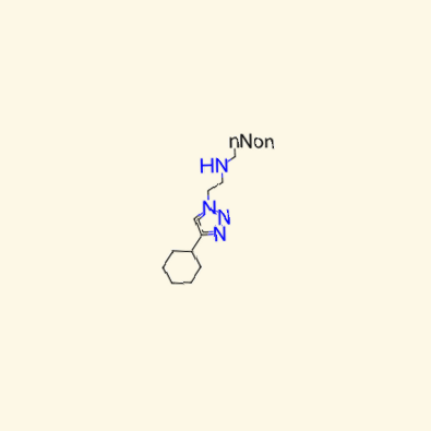 CCCCCCCCCCNCCn1cc(C2CCCCC2)nn1